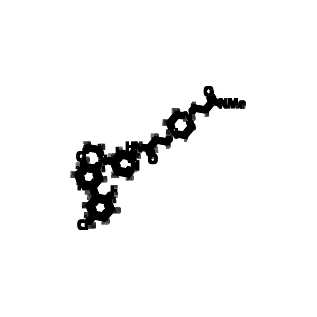 CNC(=O)CCN1CCN(CCC(=O)Nc2cc(N3CCOc4cnc(-c5cc(Cl)ccc5F)cc43)ccn2)CC1